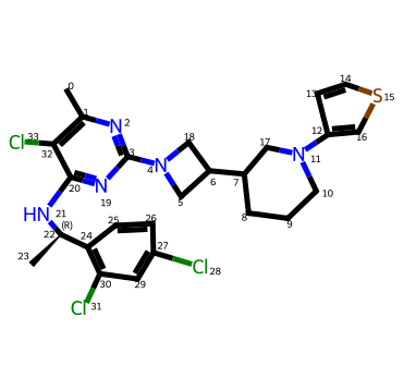 Cc1nc(N2CC(C3CCCN(c4ccsc4)C3)C2)nc(N[C@H](C)c2ccc(Cl)cc2Cl)c1Cl